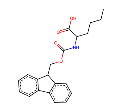 CCCCC(NC(=O)OCC1c2ccccc2-c2ccccc21)C(=O)O